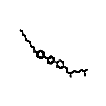 CCCCCCCCOc1ccc(-c2ccc([C@H]3OC[C@H](CCC(C)CCCC(C)C)CO3)cc2)cc1